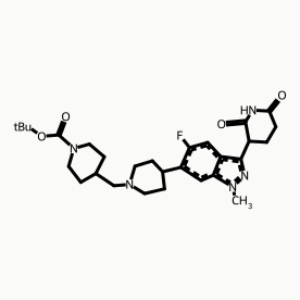 Cn1nc(C2CCC(=O)NC2=O)c2cc(F)c(C3CCN(CC4CCN(C(=O)OC(C)(C)C)CC4)CC3)cc21